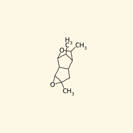 CC1OC2C(C)C1C1CC3(C)OC3C12